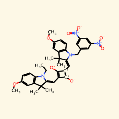 CCN1C(=Cc2c([O-])[c+](C=C3N(Cc4cc([N+](=O)[O-])cc([N+](=O)[O-])c4)c4ccc(OC)cc4C3(C)C)[c+]2[O-])C(C)(C)c2cc(OC)ccc21